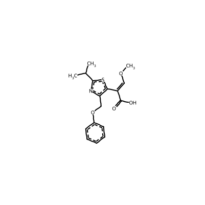 CO/C=C(/C(=O)O)c1sc(C(C)C)nc1COc1ccccc1